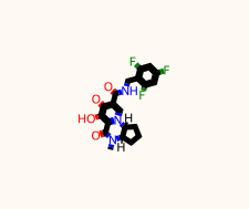 CN1C(=O)c2c(O)c(=O)c(C(=O)NCc3c(F)cc(F)cc3F)cn2[C@@H]2CCC[C@H]21